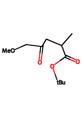 COCC(=O)CC(C)C(=O)OC(C)(C)C